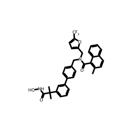 Cc1ccc2ccccc2c1C(=O)N(Cc1ccc(-c2cccc(C(C)(C)C(=O)NO)c2)cc1)Cc1ccc(C(F)(F)F)o1